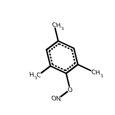 Cc1cc(C)c(ON=O)c(C)c1